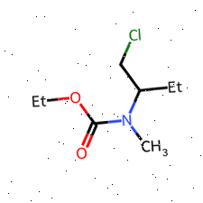 CCOC(=O)N(C)C(CC)CCl